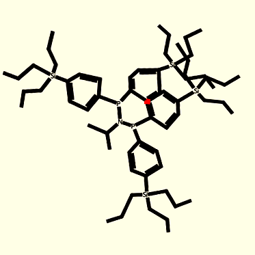 CCC[Si](CCC)(CCC)c1ccc(P(c2ccc([Si](CCC)(CCC)CCC)cc2)N(C(C)C)P(c2ccc([Si](CCC)(CCC)CCC)cc2)c2ccc([Si](CCC)(CCC)CCC)cc2)cc1